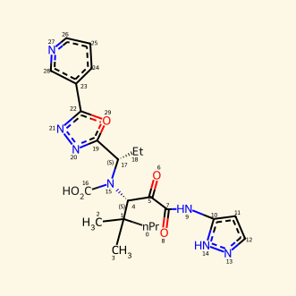 CCCC(C)(C)[C@@H](C(=O)C(=O)Nc1ccn[nH]1)N(C(=O)O)[C@@H](CC)c1nnc(-c2cccnc2)o1